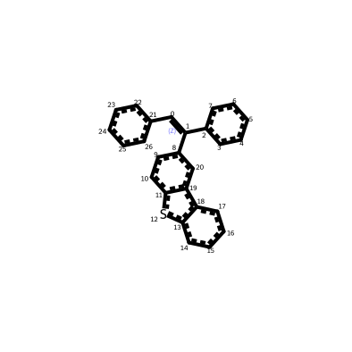 C(=C(\c1ccccc1)c1ccc2sc3ccccc3c2c1)/c1ccccc1